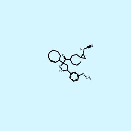 COc1cccc(C2CC(C(=O)C3CCC[C@@]4(CC3)CC4NC#N)(C3/C=C\CCCCC3)ON2)c1